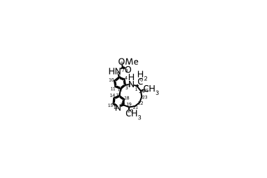 C=C1Nc2cc(NC(=O)OC)ccc2-c2ccnc(c2)C(C)CCCC1C